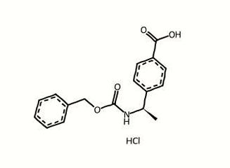 C[C@@H](NC(=O)OCc1ccccc1)c1ccc(C(=O)O)cc1.Cl